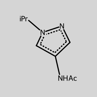 CC(=O)Nc1cnn(C(C)C)c1